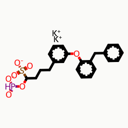 O=[PH]([O-])OC(CCCc1cccc(Oc2ccccc2Cc2ccccc2)c1)S(=O)(=O)[O-].[K+].[K+]